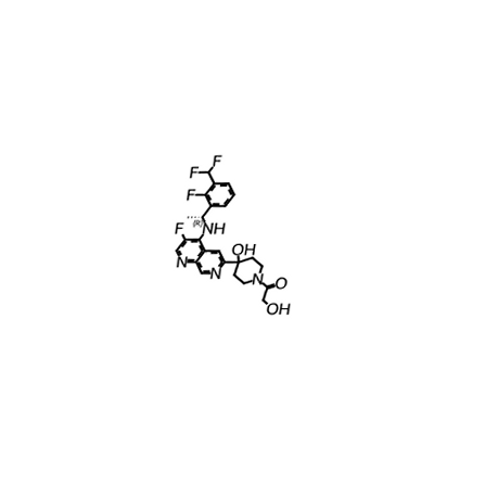 C[C@@H](Nc1c(F)cnc2cnc(C3(O)CCN(C(=O)CO)CC3)cc12)c1cccc(C(F)F)c1F